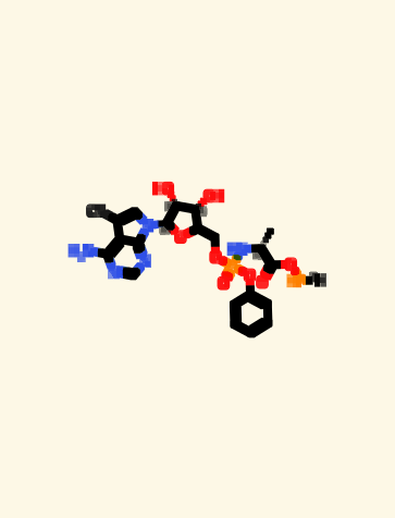 [2H]POC(=O)[C@@H](C)NP(=O)(OCC1O[C@@H](n2cc([N+]#[C-])c3c(N)ncnc32)[C@H](O)[C@@H]1O)Oc1ccccc1